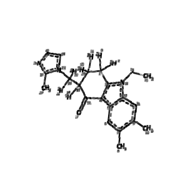 [2H]C1([2H])c2c(c3cc(C)c(C)cc3n2CC)C(=O)C([2H])(C([2H])([2H])n2ccnc2C)C1([2H])[2H]